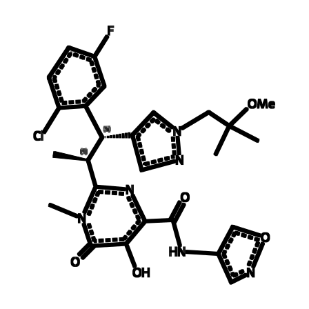 COC(C)(C)Cn1cc([C@@H](c2cc(F)ccc2Cl)[C@H](C)c2nc(C(=O)Nc3cnoc3)c(O)c(=O)n2C)cn1